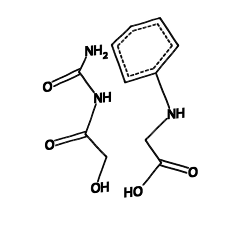 NC(=O)NC(=O)CO.O=C(O)CNc1ccccc1